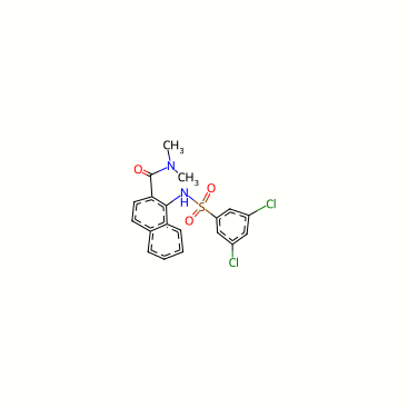 CN(C)C(=O)c1ccc2ccccc2c1NS(=O)(=O)c1cc(Cl)cc(Cl)c1